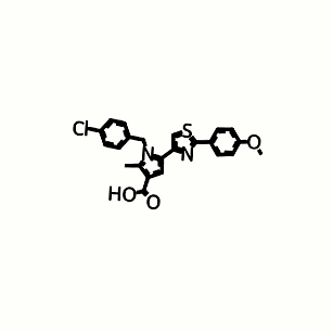 COc1ccc(-c2nc(-c3cc(C(=O)O)c(C)n3Cc3ccc(Cl)cc3)cs2)cc1